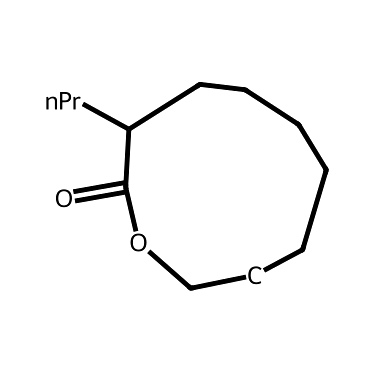 CCCC1CCCCCCCOC1=O